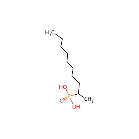 CCCCCCCCC(C)P(=O)(O)O